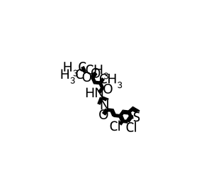 CC(CC(=O)OC(C)(C)C)C(=O)NC1CN(C(=O)C=Cc2cc3ccsc3c(Cl)c2Cl)C1